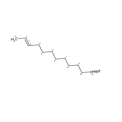 [CH2]/C=C/CCCCCCCCCCCCCCC